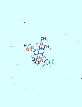 CCOC(=O)N1c2cc(CS(C)(=O)=O)c(OC)cc2[C@@H](N(Cc2cc(C(F)(F)F)cc(C(F)(F)F)c2)C(=O)OC)C[C@H]1C